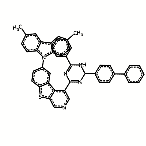 Cc1ccc2c(c1)c1cc(C)ccc1n2-c1ccc2sc3cncc(C4=NC(c5ccc(-c6ccccc6)cc5)NC(c5ccccc5)=N4)c3c2c1